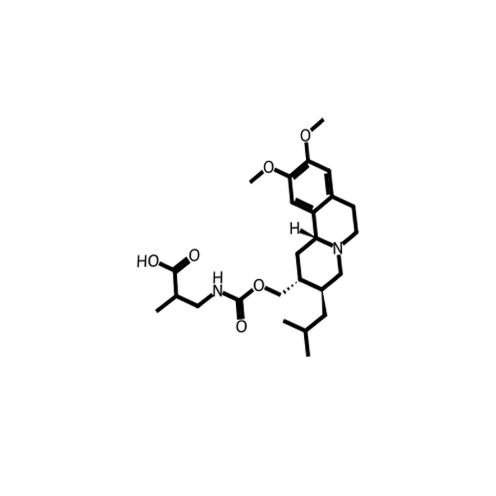 COc1cc2c(cc1OC)[C@H]1C[C@@H](COC(=O)NCC(C)C(=O)O)[C@H](CC(C)C)CN1CC2